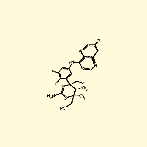 C[C@@H]1[C@@](C)(CO)SC(N)=N[C@]1(CF)c1cc(Nc2ncnc3cc(Cl)cnc23)cc(F)c1F